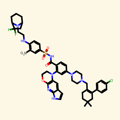 CC1(C)CCC(CN2CCN(c3ccc(C(=O)NS(=O)(=O)c4ccc(NCCN5C6CCCC5C(F)(F)C6)c([N+](=O)[O-])c4)c(N4CCOc5nc6[nH]ccc6cc54)c3)CC2)=C(c2ccc(Cl)cc2)C1